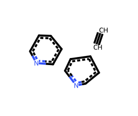 C#C.c1ccncc1.c1ccncc1